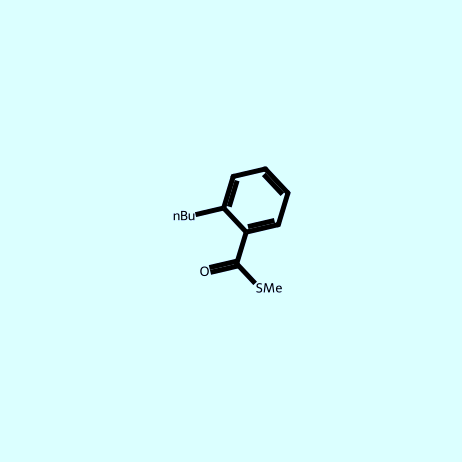 CCCCc1ccccc1C(=O)SC